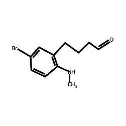 CNc1ccc(Br)cc1CCCC=O